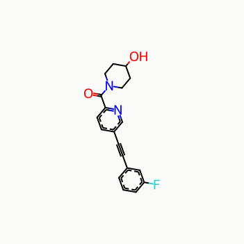 O=C(c1ccc(C#Cc2cccc(F)c2)cn1)N1CCC(O)CC1